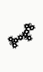 O=P(c1ccccc1)(c1ccccc1)c1ccc(-c2ccc(-c3nc4cc(-c5cccc6oc7c(c56)CCC=C7)ccc4c4c3oc3ccccc34)cc2)cc1